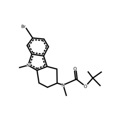 CN(C(=O)OC(C)(C)C)C1CCc2c(c3ccc(Br)cc3n2C)C1